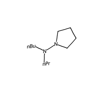 CCCCN(CCC)N1CCCC1